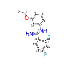 CCOc1cccc(NC(=N)c2ccc(F)cc2F)c1